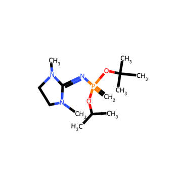 C=P(N=C1N(C)CCN1C)(OC(C)C)OC(C)(C)C